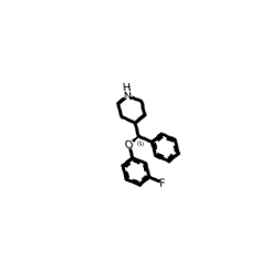 Fc1cccc(O[C@H](c2ccccc2)C2CCNCC2)c1